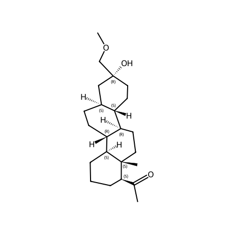 COC[C@@]1(O)CC[C@H]2[C@@H](CC[C@@H]3[C@@H]2CC[C@]2(C)[C@@H](C(C)=O)CCC[C@@H]32)C1